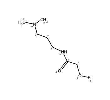 CCOCC(=O)NCCCN(C)C